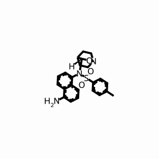 Cc1ccc(S(=O)(=O)N(c2cccc3c(N)cccc23)[C@H]2CN3CCC2CC3)cc1